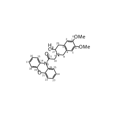 COc1cc2c(cc1OC)CN(CC(=O)N1c3ccccc3Oc3ccccc31)C(C)C2